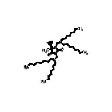 CCCCCCCCN(CCCCCCCC)CN1C(=O)N(CN(CCCCCCCC)CCCCCCCC)C(C)(C2CC2)C1=O